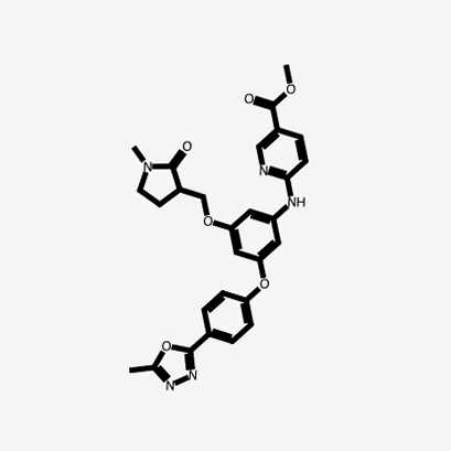 COC(=O)c1ccc(Nc2cc(OCC3CCN(C)C3=O)cc(Oc3ccc(-c4nnc(C)o4)cc3)c2)nc1